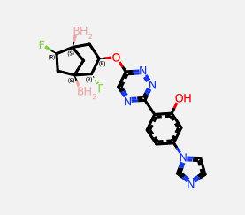 B[C@]12C[C@@H](Oc3cnc(-c4ccc(-n5ccnc5)cc4O)nn3)[C@H](F)[C@](B)(C[C@H]1F)C2